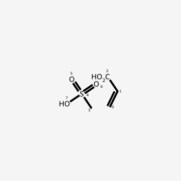 C=CC(=O)O.CS(=O)(=O)O